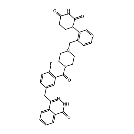 O=C1CCN(c2cnccc2CN2CCN(C(=O)c3cc(Cc4n[nH]c(=O)c5ccccc45)ccc3F)CC2)C(=O)N1